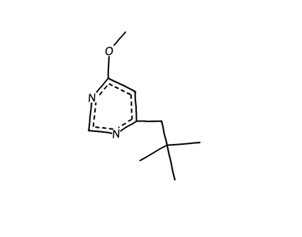 COc1cc(CC(C)(C)C)ncn1